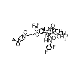 CC(C)(C)C[C@H](OC(N)=O)c1oc(-c2ccc(OC(F)F)c(OCCCCC(=O)N3CCN(C(=O)C4CC4)CC3)c2)nc1C(=O)NCc1ccc(F)cc1F